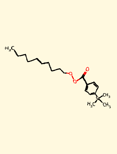 [CH2]CCCCCCCCCOOC(=O)c1ccc([Si](C)(C)C)cc1